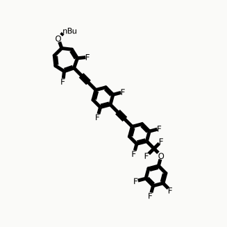 CCCCOC1C=CC(F)=C(C#Cc2cc(F)c(C#Cc3cc(F)c(C(F)(F)Oc4cc(F)c(F)c(F)c4)c(F)c3)c(F)c2)C(F)=C1